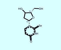 O=c1ccn([C@@H]2CC(O)[C@H](CO)O2)c(=[Se])[nH]1